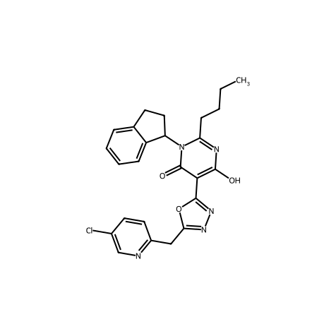 CCCCc1nc(O)c(-c2nnc(Cc3ccc(Cl)cn3)o2)c(=O)n1C1CCc2ccccc21